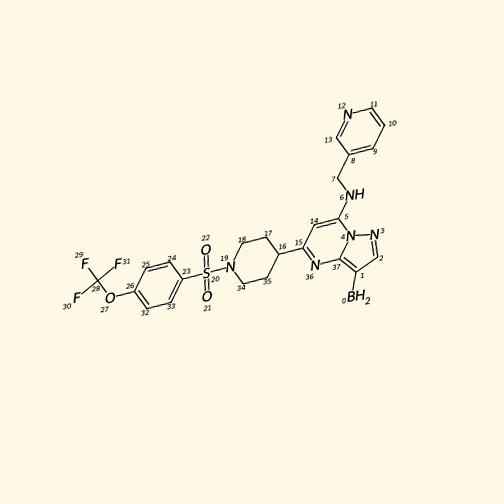 Bc1cnn2c(NCc3cccnc3)cc(C3CCN(S(=O)(=O)c4ccc(OC(F)(F)F)cc4)CC3)nc12